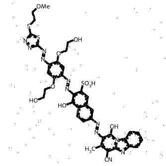 COCCSc1nnc(N=Nc2cc(OCCO)c(N=Nc3c(S(=O)(=O)O)cc4cc(N=Nc5c(C)c(C#N)c6nc7ccccc7n6c5O)ccc4c3O)cc2OCCO)s1